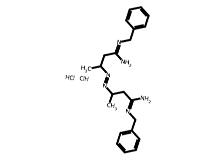 CC(CC(N)=NCc1ccccc1)N=NC(C)CC(N)=NCc1ccccc1.Cl.Cl